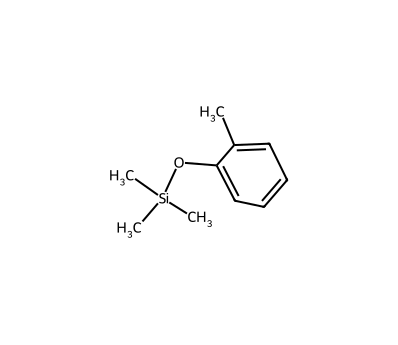 Cc1ccccc1O[Si](C)(C)C